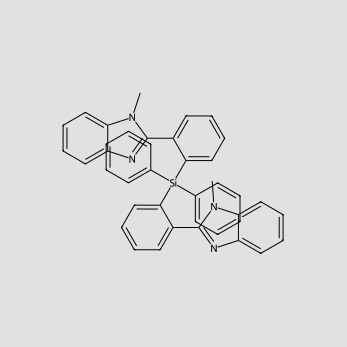 Cn1c(-c2ccccc2[Si](c2ccccc2)(c2ccccc2)c2ccccc2-c2nc3ccccc3n2C)nc2ccccc21